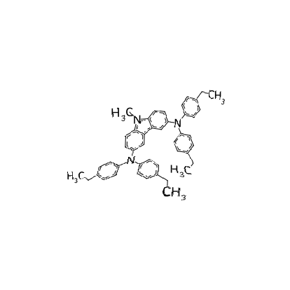 CCc1ccc(N(c2ccc(CC)cc2)c2ccc3c(c2)c2cc(N(c4ccc(CC)cc4)c4ccc(CC)cc4)ccc2n3C)cc1